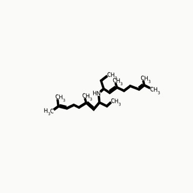 CCC(/C=C(\C)CCC=C(C)C)NC(/C=C(\C)CCC=C(C)C)CC